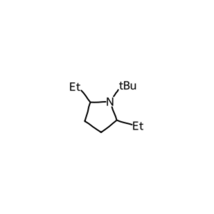 CCC1CCC(CC)N1C(C)(C)C